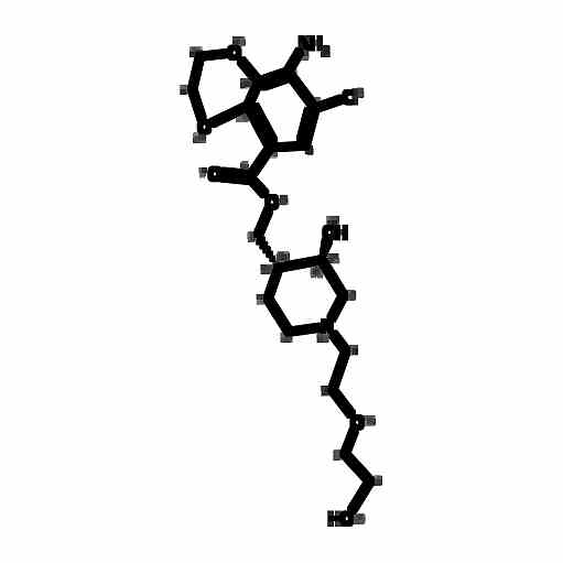 Nc1c(Cl)cc(C(=O)OC[C@H]2CCN(CCOCCO)C[C@@H]2O)c2c1OCCO2